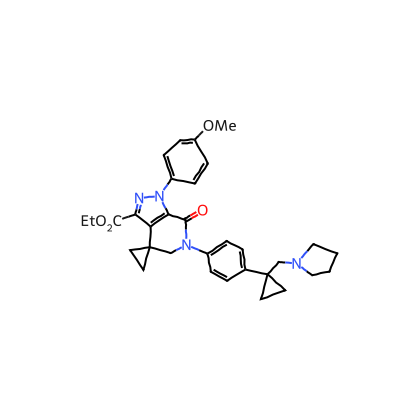 CCOC(=O)c1nn(-c2ccc(OC)cc2)c2c1C1(CC1)CN(c1ccc(C3(CN4CCCC4)CC3)cc1)C2=O